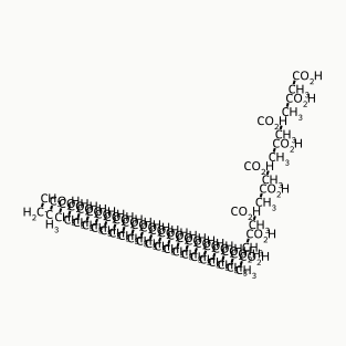 CC(=O)O.CC(=O)O.CC(=O)O.CC(=O)O.CC(=O)O.CC(=O)O.CC(=O)O.CC(=O)O.CC(=O)O.CC(=O)O.CC(=O)O.CC(=O)O.CC(=O)O.CC(=O)O.CC(=O)O.CC(=O)O.CC(=O)O.CC(=O)O.CC(=O)O.CC(=O)O.CC(=O)O.CC(=O)O.CC(=O)O.CC(=O)O.CC(=O)O.CC(=O)O.CC(=O)O.CC(=O)O.CC(=O)O.CC(=O)O.[CH2]C